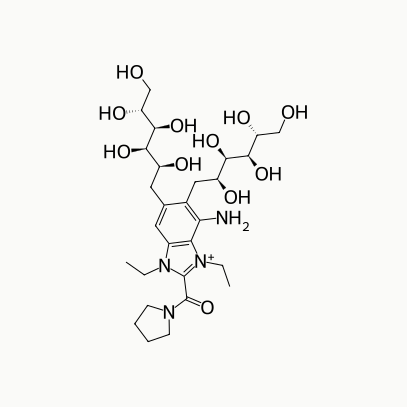 CCn1c(C(=O)N2CCCC2)[n+](CC)c2c(N)c(C[C@H](O)[C@@H](O)[C@H](O)[C@H](O)CO)c(C[C@H](O)[C@@H](O)[C@H](O)[C@H](O)CO)cc21